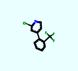 FC(F)(F)c1ccccc1-c1ccnc(Cl)c1